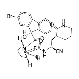 N#C[C@H](C[C@@H]1CCCNC1=O)NC(=O)[C@H]1[C@@H]2CC[C@@H](CC2(F)F)N1C(=O)[C@]1(O)c2ccccc2-c2ccc(Br)cc21